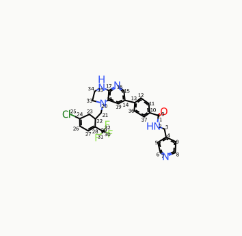 O=C(NCc1ccncc1)c1ccc(-c2cnc3c(c2)N(CC2CC(Cl)=CC=C2C(F)(F)F)CCN3)cc1